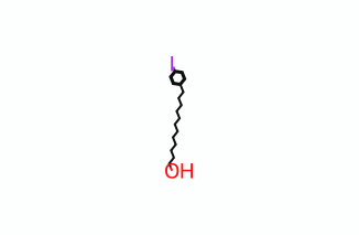 OCCCCCCCCCCCCc1ccc(I)cc1